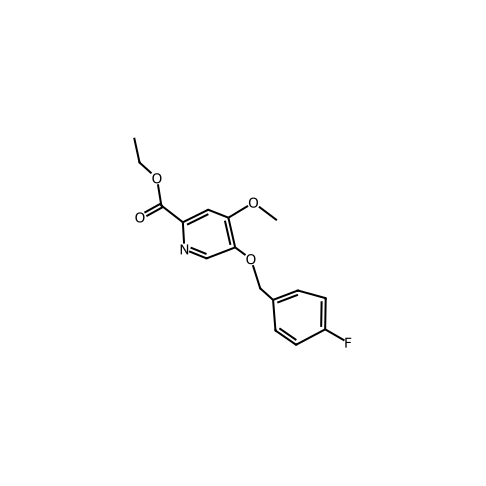 CCOC(=O)c1cc(OC)c(OCc2ccc(F)cc2)cn1